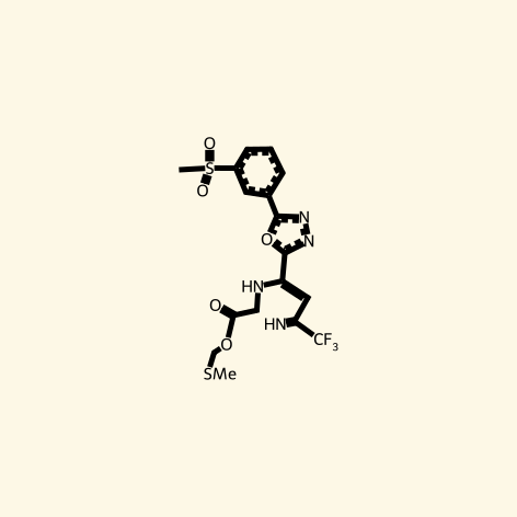 CSCOC(=O)CN/C(=C\C(=N)C(F)(F)F)c1nnc(-c2cccc(S(C)(=O)=O)c2)o1